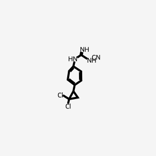 N#CNC(=N)Nc1ccc(C2CC2(Cl)Cl)cc1